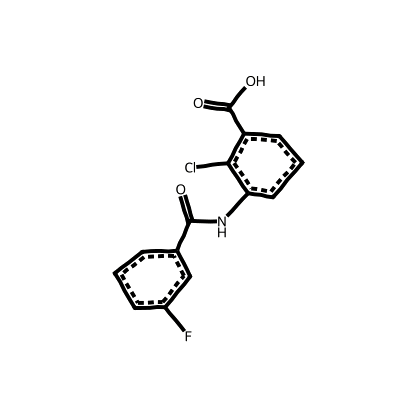 O=C(Nc1cccc(C(=O)O)c1Cl)c1cccc(F)c1